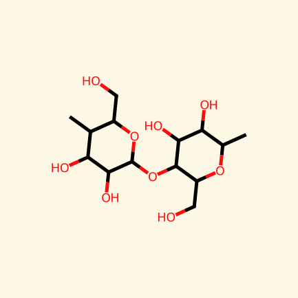 CC1OC(CO)C(OC2OC(CO)C(C)C(O)C2O)C(O)C1O